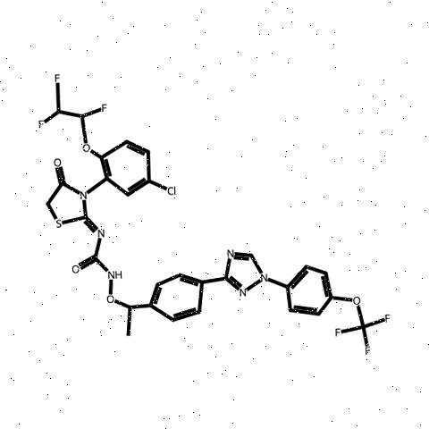 CC(ONC(=O)/N=C1\SCC(=O)N1c1cc(Cl)ccc1OC(F)C(F)F)c1ccc(-c2ncn(-c3ccc(OC(F)(F)F)cc3)n2)cc1